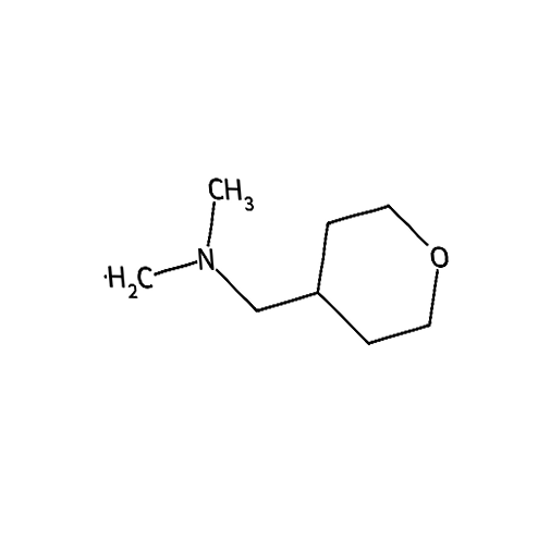 [CH2]N(C)CC1CCOCC1